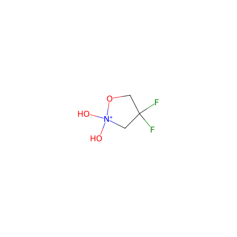 O[N+]1(O)CC(F)(F)CO1